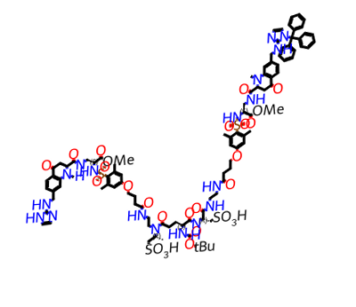 COC(=O)[C@H](CNC(=O)C1CC(=O)c2ccc(CNc3ncc[nH]3)cc2N1C)NS(=O)(=O)c1c(C)cc(OCCCC(=O)NCCN(C(=O)CC[C@H](NC(=O)OC(C)(C)C)C(=O)N[C@@H](CS(=O)(=O)O)C(=O)NCCNC(=O)CCCOc2cc(C)c(S(=O)(=O)N[C@@H](CNC(=O)C3CC(=O)c4ccc(CNc5nccn5C(c5ccccc5)(c5ccccc5)c5ccccc5)cc4N3C)C(=O)OC)c(C)c2)[C@H](C)CS(=O)(=O)O)cc1C